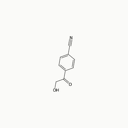 N#Cc1ccc(C(=O)CO)cc1